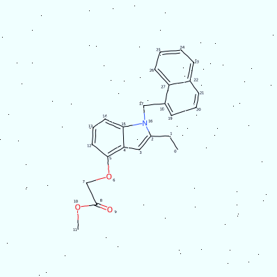 CCc1cc2c(OCC(=O)OC)cccc2n1Cc1cccc2ccccc12